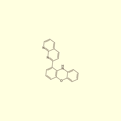 c1ccc2c(c1)Nc1c(cccc1-c1ccc3cccnc3n1)O2